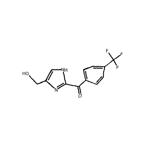 O=C(c1ccc(C(F)(F)F)cc1)c1nc(CO)c[nH]1